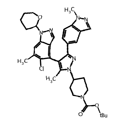 Cc1cc2c(cnn2C2CCCCO2)c(-c2c(-c3ccc4c(cnn4C)c3)nn(C3CCN(C(=O)OC(C)(C)C)CC3)c2C)c1Cl